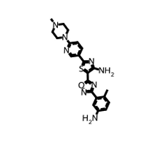 Cc1ccc(N)cc1-c1noc(-c2sc(-c3ccc(N4CCN(C)CC4)nc3)nc2N)n1